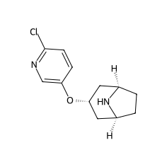 Clc1ccc(O[C@@H]2C[C@H]3CC[C@@H](C2)N3)cn1